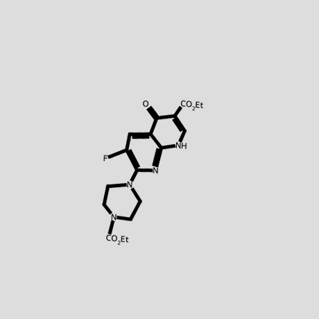 CCOC(=O)c1c[nH]c2nc(N3CCN(C(=O)OCC)CC3)c(F)cc2c1=O